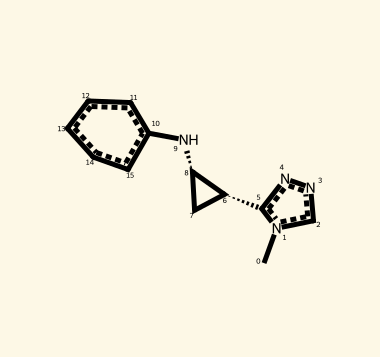 Cn1cnnc1[C@@H]1C[C@@H]1Nc1ccccc1